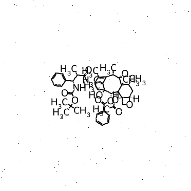 CC(=O)O[C@@]12CO[C@@H]1C[C@H](C)[C@@]1(C)C(=O)[C@H](C)C3=C(C)[C@@H](CC(=O)[C@H](C)[C@H](NC(=O)OC(C)(C)C)c4ccccc4)C[C@@](O)([C@@H](OC(=O)c4ccccc4)[C@H]21)C3(C)C